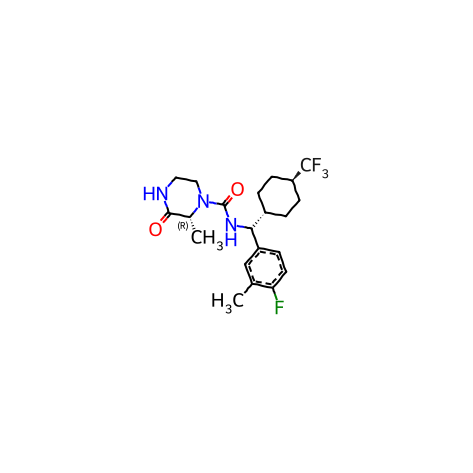 Cc1cc(C(NC(=O)N2CCNC(=O)[C@H]2C)[C@H]2CC[C@H](C(F)(F)F)CC2)ccc1F